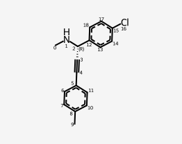 CN[C@@H](C#Cc1ccc(C)cc1)c1ccc(Cl)cc1